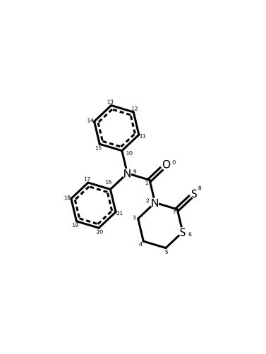 O=C(N1CCCSC1=S)N(c1ccccc1)c1ccccc1